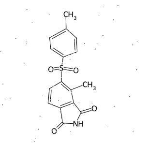 Cc1ccc(S(=O)(=O)c2ccc3c(c2C)C(=O)NC3=O)cc1